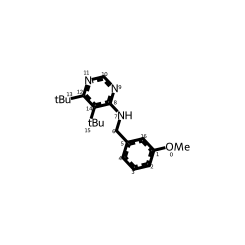 COc1cccc(CNc2ncnc(C(C)(C)C)c2C(C)(C)C)c1